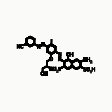 Cc1cc(N=Nc2c(S(=O)(=O)O)cc3cc(S(=O)(=O)O)c(N)cc3c2O)c(OCC(O)CO)cc1N=Nc1cccc(C#N)c1